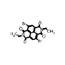 CCN1C(=O)c2cc(Br)c3c4c(cc(Br)c(c24)C1=O)C(=O)N(CC)C3=O